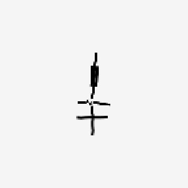 CC#C[Si](C)(C)C(C)(C)C